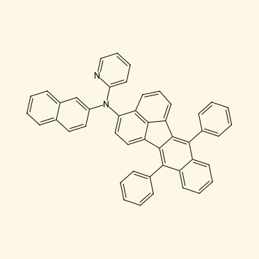 c1ccc(-c2c3c(c(-c4ccccc4)c4ccccc24)-c2ccc(N(c4ccc5ccccc5c4)c4ccccn4)c4cccc-3c24)cc1